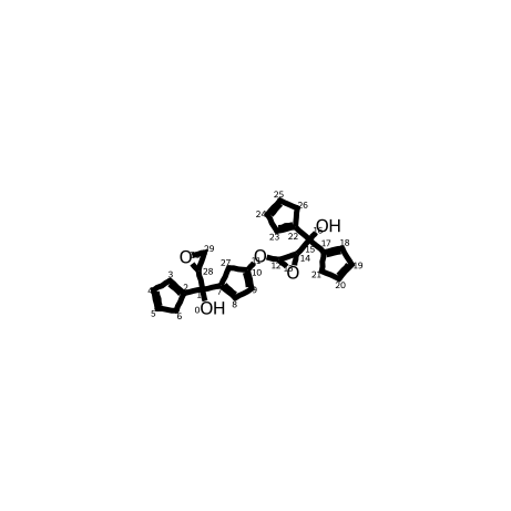 OC(C1=CC=CC1)(C1=CC=C(OC2OC2C(O)(C2=CC=CC2)C2=CC=CC2)C1)C1CO1